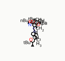 C=C1/C(=C\C=C2/CCC[C@]3(C)[C@@H]([C@H](C)CCC(C(=O)C(C)(C)C)C4CC4)CC[C@@H]23)C[C@](O[Si](C)(C)C(C)(C)C)(c2ncc(CCCC)o2)C[C@@H]1O[Si](C)(C)C(C)(C)C